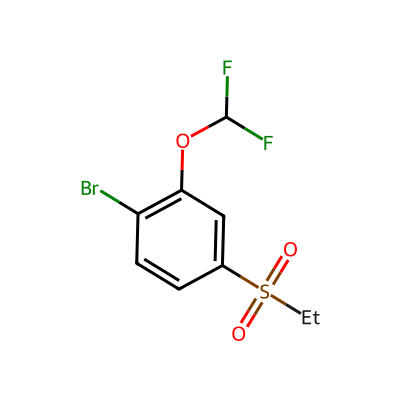 CCS(=O)(=O)c1ccc(Br)c(OC(F)F)c1